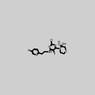 OC1(O)CSCCN1c1nc(Cl)nc(NCCc2ccc(F)cn2)c1F